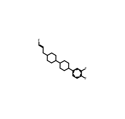 FC=CCC1CCC(C2CCC(c3ccc(F)c(F)c3)CC2)CC1